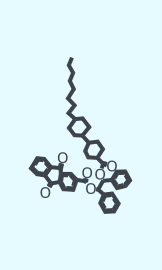 CCCCCCCCC1CCC(C2CCC(C(=O)OC(c3ccccc3)C(OC(=O)c3ccc4c(c3)C(=O)c3ccccc3C4=O)c3ccccc3)CC2)CC1